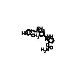 CC1CNCCN1CCN(C)c1ccc(-c2nc3c(OC(N)=O)cccc3[nH]2)cn1